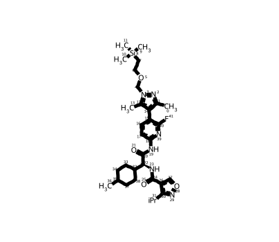 Cc1nn(COCC[Si](C)(C)C)c(C)c1-c1ccc(NC(=O)[C@@H](NC(=O)c2conc2C(C)C)C2CCC(C)CC2)nc1F